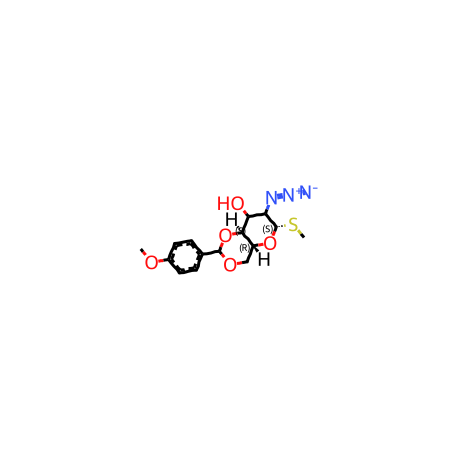 COc1ccc(C2OC[C@H]3O[C@@H](SC)C(N=[N+]=[N-])C(O)[C@@H]3O2)cc1